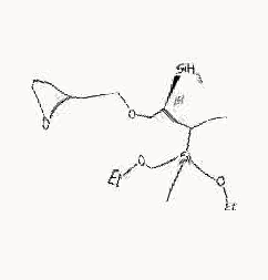 CCO[Si](C)(OCC)C(C)[C@H]([SiH3])OCC1CO1